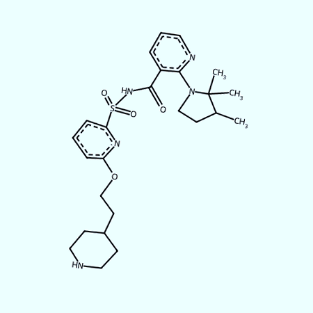 CC1CCN(c2ncccc2C(=O)NS(=O)(=O)c2cccc(OCCC3CCNCC3)n2)C1(C)C